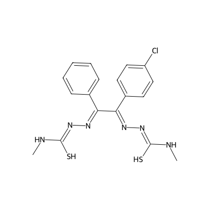 CN/C(S)=N/N=C(/C(=N/N=C(\S)NC)c1ccc(Cl)cc1)c1ccccc1